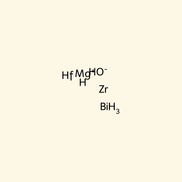 [BiH3].[Hf].[MgH+].[OH-].[Zr]